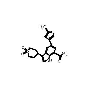 Cc1cc(-c2cc(C(N)=O)c3[nH]cc(C4CCS(=O)(=O)CC4)c3c2)cs1